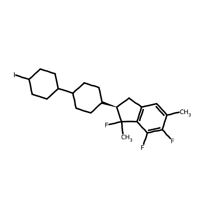 Cc1cc2c(c(F)c1F)C(C)(F)[C@@H](C1CCC(C3CCC(I)CC3)CC1)C2